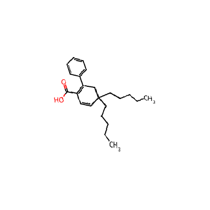 CCCCCC1(CCCCC)C=CC(C(=O)O)=C(c2ccccc2)C1